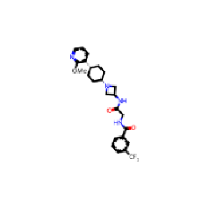 COc1ncccc1[C@H]1CC[C@@H](N2CC(NC(=O)CNC(=O)c3cccc(C(F)(F)F)c3)C2)CC1